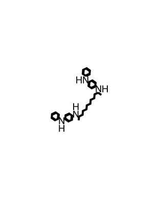 CC(CCCCCCCCC(C)Nc1ccc(Nc2ccccc2)cc1)Nc1ccc(Nc2ccccc2)cc1